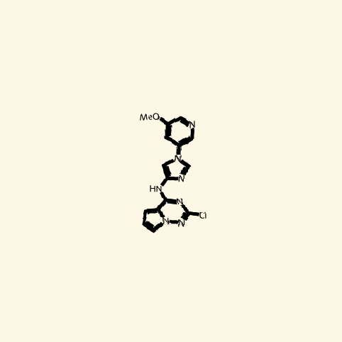 COc1cncc(-n2cnc(Nc3nc(Cl)nn4cccc34)c2)c1